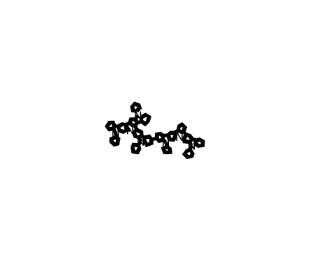 c1ccc(-n2c3ccccc3c3cc4c5cccc6c7cc8c9ccc(-c%10ccc%11c(c%10)c%10cc%12c%13c%14c%15ccccc%15n(-c%15ccccc%15)c%14cc%14c%15cc%16c%17ccccc%17n(-c%17ccccc%17)c%16cc%15n(c%12cc%10n%11-c%10ccccc%10)c%14%13)cc9n(-c9ccccc9)c8cc7n(c4cc32)c56)cc1